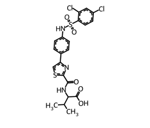 CC(C)C(NC(=O)c1nc(-c2ccc(NS(=O)(=O)c3ccc(Cl)cc3Cl)cc2)cs1)C(=O)O